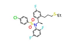 CCSCCCc1cc(F)ccc1[C@@H](C)N(c1cc(F)ccc1F)S(=O)(=O)c1ccc(Cl)cc1